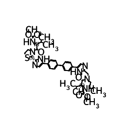 CCCN(Cc1ncc(-c2ccc(-c3ccc(-c4cnc([C@@H]5SCCN5C(=O)[C@@H](NC(=O)OC)C(C)C)[nH]4)cc3)cc2)[nH]1)C(=O)[C@@H](NC(=O)OC)C(C)C